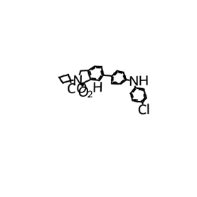 O=C1c2cc(-c3ccc(Nc4ccc(Cl)cc4)cc3)ccc2CN1C1(C(=O)O)CCC1